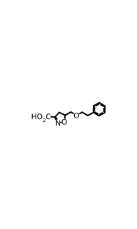 O=C(O)C1=NOC(COCCc2ccccc2)C1